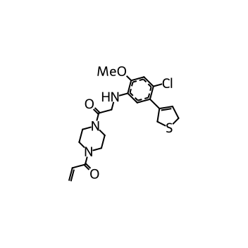 C=CC(=O)N1CCN(C(=O)CNc2cc(C3=CCSC3)c(Cl)cc2OC)CC1